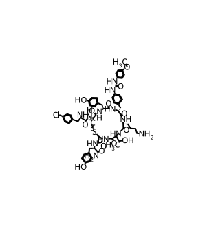 COc1ccc(NC(=O)Nc2ccc(C[C@H]3NC(=O)[C@H](Cc4ccc(O)cc4)NC(=O)[C@H](NC(=O)[C@@H](N)Cc4ccc(Cl)cc4)CSSC[C@@H](C(=O)N[C@H](Cc4ccc(O)cc4)C(N)=O)NC(=O)C(C(C)O)NC(=O)[C@H](CCCCN)NC3=O)cc2)cc1